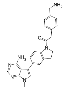 Cn1cc(-c2ccc3c(c2)CCN3C(=O)Cc2ccc(CN)cc2)c2c(N)ncnc21